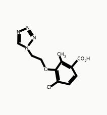 Cc1c(C(=O)O)ccc(Cl)c1OCCn1cnnn1